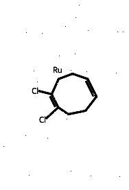 Cl/C1=C(\Cl)CC/C=C\CC1.[Ru]